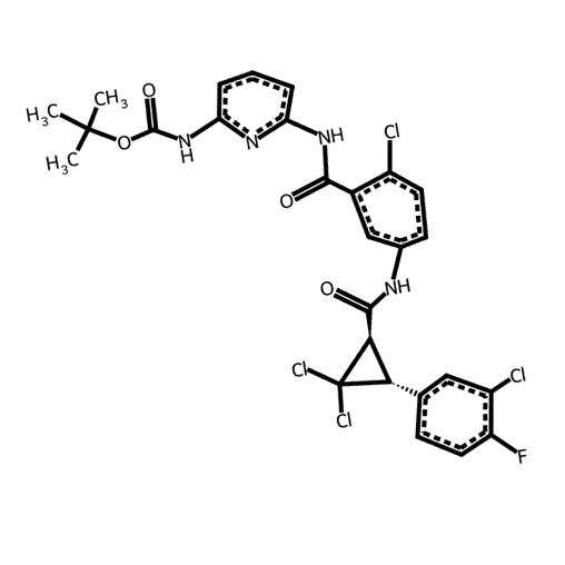 CC(C)(C)OC(=O)Nc1cccc(NC(=O)c2cc(NC(=O)[C@H]3[C@H](c4ccc(F)c(Cl)c4)C3(Cl)Cl)ccc2Cl)n1